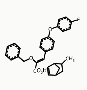 CC1CC2C=CC1C2.O=C(O)C(=Cc1ccc(Oc2ccc(F)cc2)cc1)OCc1ccccc1